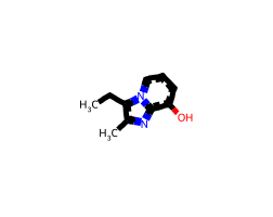 CCc1c(C)nc2c(O)cccn12